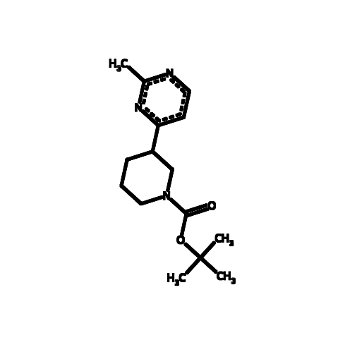 Cc1nccc(C2CCCN(C(=O)OC(C)(C)C)C2)n1